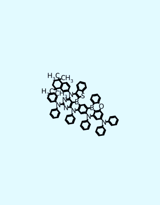 CC1(C)CCC(C)(C)c2cc(N3c4nc(N(c5ccccc5)c5ccccc5)nc5c4B(c4cc6c(cc4N5c4ccccc4)N(c4ccccc4)c4cc(N(c5ccccc5)c5ccccc5)cc5c4B6c4ccccc4O5)c4sc5ccccc5c43)ccc21